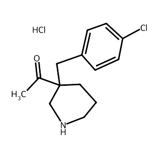 CC(=O)C1(Cc2ccc(Cl)cc2)CCCNC1.Cl